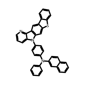 c1ccc(N(c2ccc(-n3c4cc5sc6ccccc6c5cc4c4ncccc43)cc2)c2ccc3ccccc3c2)cc1